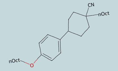 CCCCCCCCOc1ccc(C2CCC(C#N)(CCCCCCCC)CC2)cc1